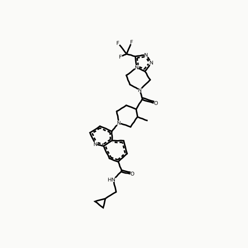 CC1CN(c2ccnc3cc(C(=O)NCC4CC4)ccc23)CCC1C(=O)N1CCn2c(nnc2C(F)(F)F)C1